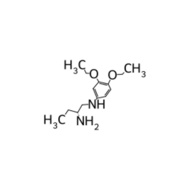 CCOc1ccc(NC[C@H](N)CC)cc1OCC